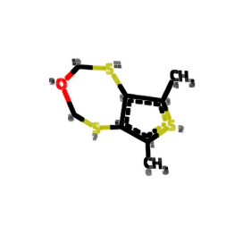 Cc1sc(C)c2c1SCOCS2